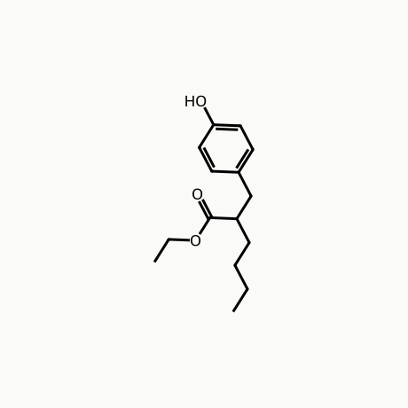 CCCCC(Cc1ccc(O)cc1)C(=O)OCC